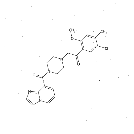 COc1cc(C)c(Cl)cc1C(=O)CN1CCN(C(=O)c2cccn3ccnc23)CC1